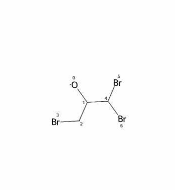 [O]C(CBr)C(Br)Br